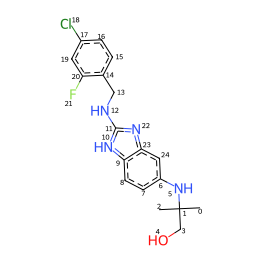 CC(C)(CO)Nc1ccc2[nH]c(NCc3ccc(Cl)cc3F)nc2c1